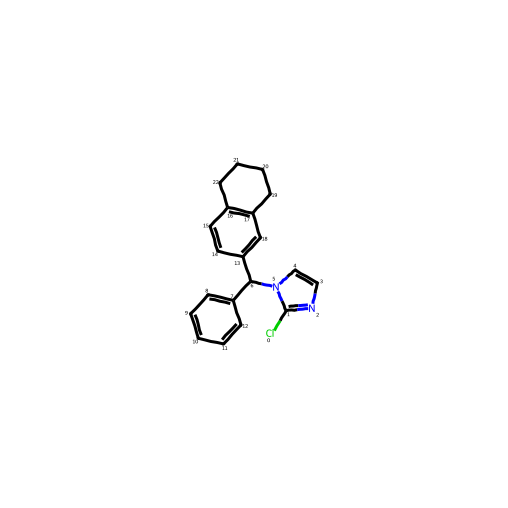 Clc1nccn1C(c1ccccc1)c1ccc2c(c1)CCCC2